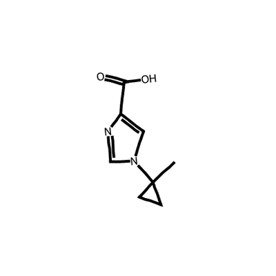 CC1(n2cnc(C(=O)O)c2)CC1